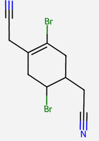 N#CCC1=C(Br)CC(CC#N)C(Br)C1